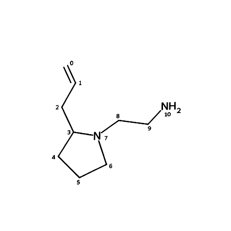 C=CCC1CCCN1CCN